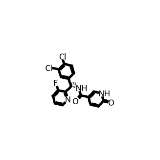 O=C(N[C@@H](c1ccc(Cl)c(Cl)c1)c1ncccc1F)c1ccc(=O)[nH]c1